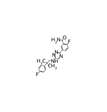 CC(C)(CNc1cnc(-c2ccc(F)c(C(N)=O)c2)nn1)c1ccc(F)cc1